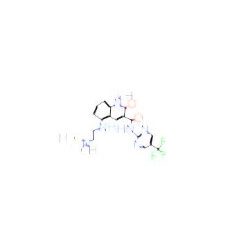 CN(C)CCNc1cccc2c1cc(C(=O)Nc1ncc(C(F)(F)F)cn1)c(=O)n2C